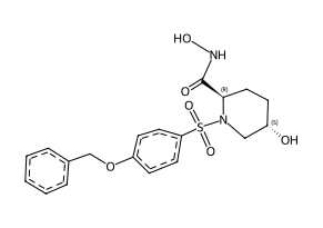 O=C(NO)[C@H]1CC[C@H](O)CN1S(=O)(=O)c1ccc(OCc2ccccc2)cc1